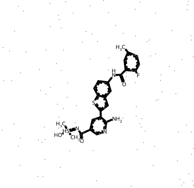 Cc1ccc(F)c(C(=O)Nc2ccc3sc(-c4cc(C(=O)N=[SH](C)(C)O)cnc4N)cc3c2)c1